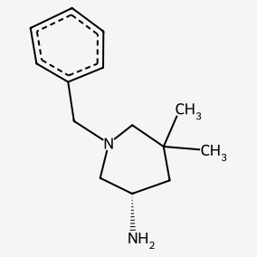 CC1(C)C[C@H](N)CN(Cc2ccccc2)C1